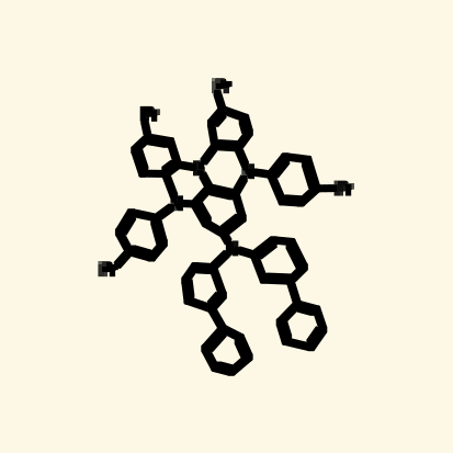 CC(C)c1ccc(N2c3ccc(C(C)C)cc3B3c4cc(C(C)C)ccc4N(c4ccc(C(C)C)cc4)c4cc(N(c5cccc(-c6ccccc6)c5)c5cccc(-c6ccccc6)c5)cc2c43)cc1